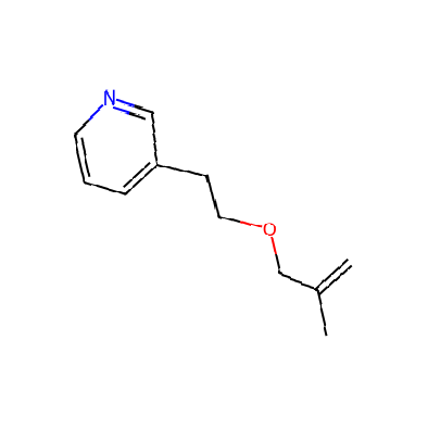 C=C(C)COCCc1cccnc1